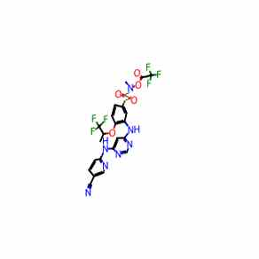 CC(Oc1ccc(S(=O)(=O)N(C)OC(=O)C(F)(F)F)cc1Nc1cc(Nc2ccc(C#N)cn2)ncn1)C(F)(F)F